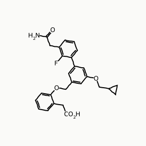 NC(=O)Cc1cccc(-c2cc(COc3ccccc3CC(=O)O)cc(OCC3CC3)c2)c1F